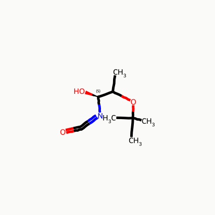 CC(OC(C)(C)C)[C@H](O)N=C=O